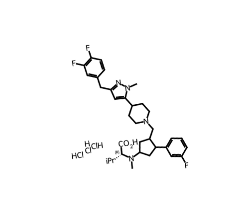 CC(C)[C@H](C(=O)O)N(C)C1CC(CN2CCC(c3cc(Cc4ccc(F)c(F)c4)nn3C)CC2)C(c2cccc(F)c2)C1.Cl.Cl.Cl